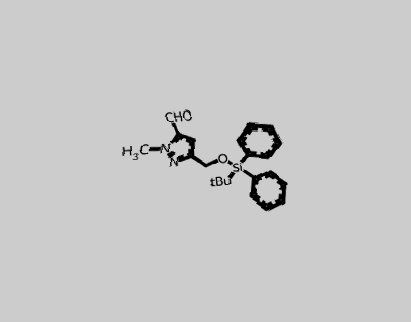 Cn1nc(CO[Si](c2ccccc2)(c2ccccc2)C(C)(C)C)cc1C=O